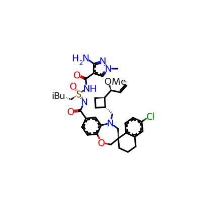 C=C[C@H](OC)[C@@H]1CC[C@H]1CN1C[C@@]2(CCCc3cc(Cl)ccc32)COc2ccc(C(=O)N=[S@@](=O)(C[C@@H](C)CC)NC(=O)c3cn(C)nc3N)cc21